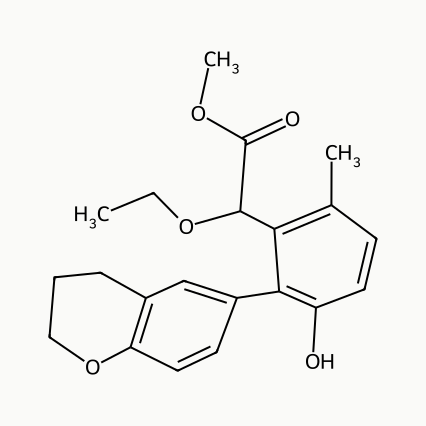 CCOC(C(=O)OC)c1c(C)ccc(O)c1-c1ccc2c(c1)CCCO2